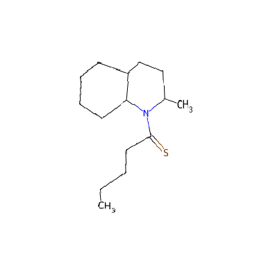 CCCCC(=S)N1C(C)CCC2CCCCC21